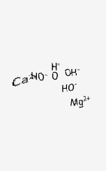 [Ca+2].[Mg+2].[OH-].[OH-].[OH-].[OH-]